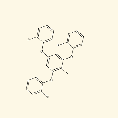 [CH2]c1c(Oc2ccccc2F)cc(Oc2ccccc2F)cc1Oc1ccccc1F